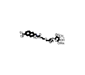 CCN(CC)c1ccc2cc(/C=C(\C#N)C(=O)NCCOCc3cn(C[C@H]4O[C@H](OC)[C@H](O)[C@@H](C)[C@@H]4O)nn3)ccc2c1